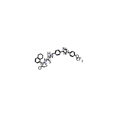 O=C1CS/C(=N\C(=S)N/N=C/c2ccc(-c3ncn(-c4ccc(OC(F)(F)F)cc4)n3)cc2)N1c1cccc2c1CCCC2